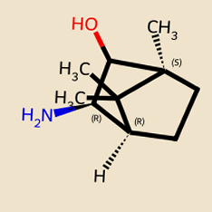 CC1(C)[C@H]2CC[C@]1(C)C(O)[C@@H]2N